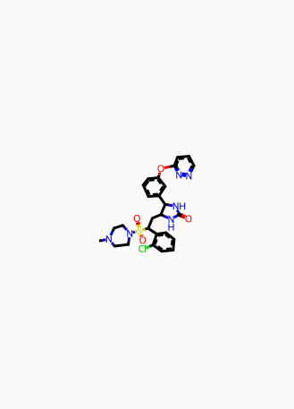 CN1CCN(S(=O)(=O)C(CC2NC(=O)NC2c2cccc(Oc3cccnn3)c2)c2ccccc2Cl)CC1